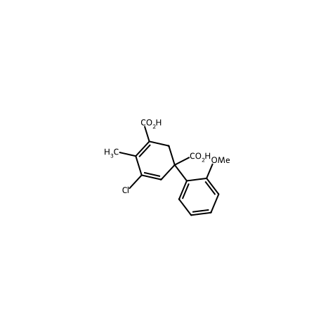 COc1ccccc1C1(C(=O)O)C=C(Cl)C(C)=C(C(=O)O)C1